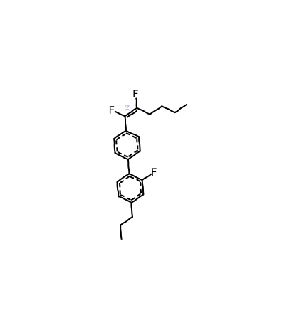 CCCC/C(F)=C(/F)c1ccc(-c2ccc(CCC)cc2F)cc1